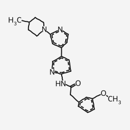 COc1cccc(CC(=O)Nc2ccc(-c3ccnc(N4CCC(C)CC4)c3)cn2)c1